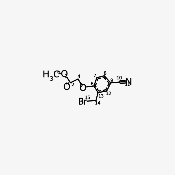 COC(=O)COc1ccc(C#N)cc1CBr